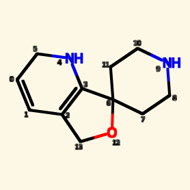 C1=CC2=C(NC1)C1(CCNCC1)OC2